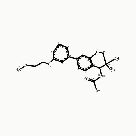 COCCOc1cccc(-c2ccc3c(c2)OCC(C)(C)C3NC(=O)O)c1